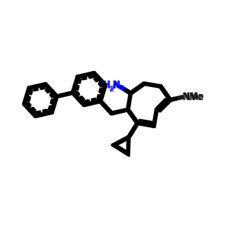 CN/C1=C\C=C(\C2CC2)C(Cc2cccc(-c3ccccc3)c2)C(N)CC1